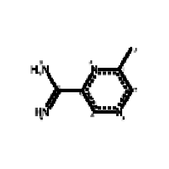 [CH2]c1cncc(C(=N)N)n1